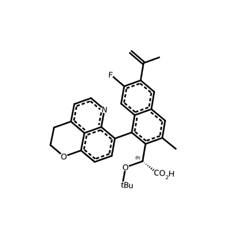 C=C(C)c1cc2cc(C)c([C@@H](OC(C)(C)C)C(=O)O)c(-c3ccc4c5c(ccnc35)CCO4)c2cc1F